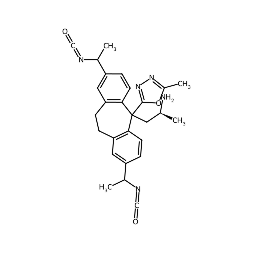 Cc1nnc(C2(C[C@H](C)N)c3ccc(C(C)N=C=O)cc3CCc3cc(C(C)N=C=O)ccc32)o1